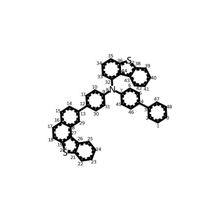 c1ccc(-c2ccc(N(c3ccc(-c4ccc5ccc6sc7ccccc7c6c5c4)cc3)c3cccc4sc5ccccc5c34)cc2)cc1